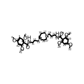 COc1cc(OC)c(C(=O)NCCCN2CCCN(CCCNC(=O)c3c(OC)cc(OC)cc3OC)CC2)c(OC)c1